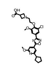 COc1cc(-c2nc(-c3cc(Cl)c(OCCN4CC(C(=O)O)C4)c(OC)c3)no2)cc(C2CCCC2)n1